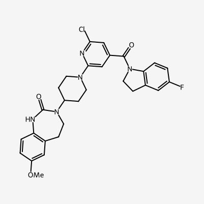 COc1ccc2c(c1)CCN(C1CCN(c3cc(C(=O)N4CCc5cc(F)ccc54)cc(Cl)n3)CC1)C(=O)N2